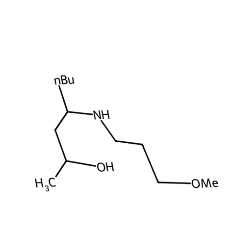 CCCCC(CC(C)O)NCCCOC